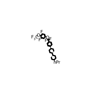 CCC[C@H]1CC[C@H]([C@H]2CC[C@H](c3ccc(C(F)(F)Oc4cc(F)c(OC(F)(F)F)c(F)c4)cc3)CC2)CC1